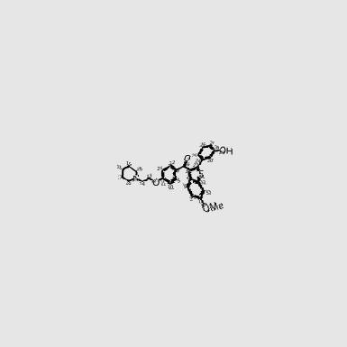 COc1ccc2c(C(=O)c3ccc(OCCN4CCCCC4)cc3)c(-c3cccc(O)c3)sc2c1